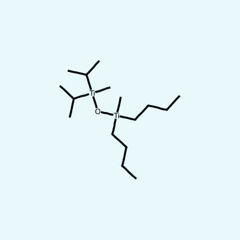 CCC[CH2][Ti]([CH3])([CH2]CCC)[O][Ti]([CH3])([CH](C)C)[CH](C)C